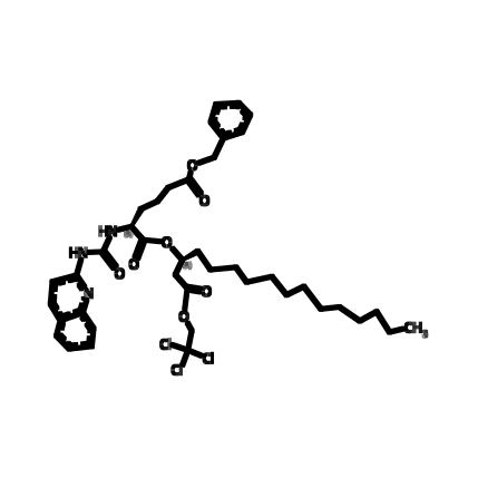 CCCCCCCCCCCCC[C@@H](CC(=O)OCC(Cl)(Cl)Cl)OC(=O)[C@H](CCCC(=O)OCc1ccccc1)NC(=O)Nc1ccc2ccccc2n1